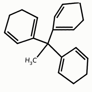 CC(C1=CCCC=C1)(C1=CCCC=C1)C1=CCCC=C1